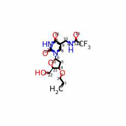 C=CCOC1C[C@H](n2cc(CNC(=O)C(F)(F)F)c(=O)[nH]c2=O)O[C@@H]1CO